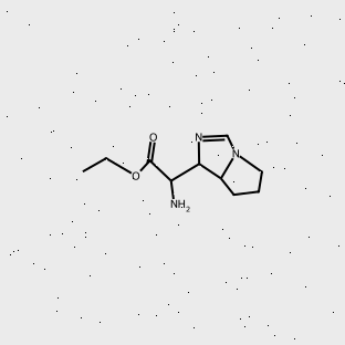 CCOC(=O)C(N)C1N=CN2CCCC12